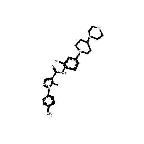 Cc1c(C(=O)Nc2ccc(N3CCC(N4CCOCC4)CC3)cc2C#N)cnn1-c1ccc(C(F)(F)F)cc1